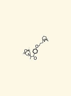 CC(C(=O)c1ccc(OCCCN2CCC[C@H]2C)cc1)N1C[C@@H](C)O[C@@H](C)C1